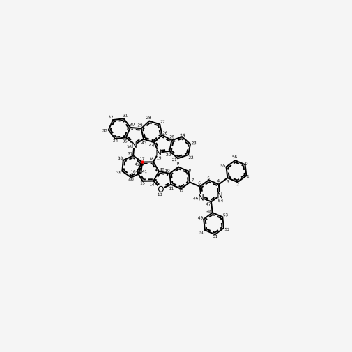 c1ccc(-c2cc(-c3ccc4c(c3)oc3cccc(-n5c6ccccc6c6ccc7c8ccccc8n(-c8ccccc8)c7c65)c34)nc(-c3ccccc3)n2)cc1